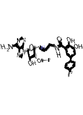 Nc1ncnc2c1ncn2[C@@H]1O[C@H](/C=C/CNC(=O)c2cc(-c3ccc(F)cc3)cc(O)c2O)[C@H](O)C1O